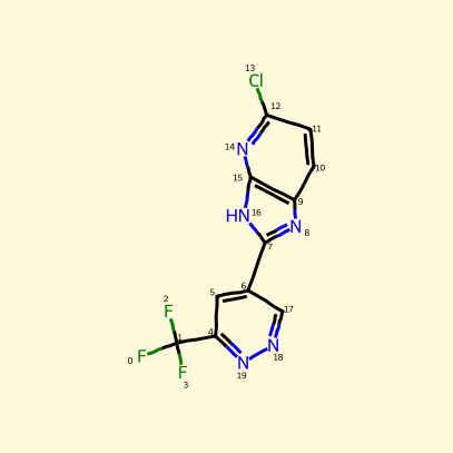 FC(F)(F)c1cc(-c2nc3ccc(Cl)nc3[nH]2)cnn1